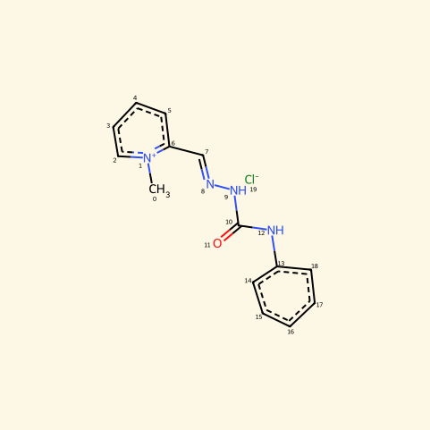 C[n+]1ccccc1C=NNC(=O)Nc1ccccc1.[Cl-]